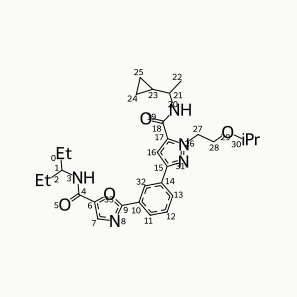 CCC(CC)NC(=O)c1cnc(-c2cccc(-c3cc(C(=O)NC(C)C4CC4)n(CCOC(C)C)n3)c2)o1